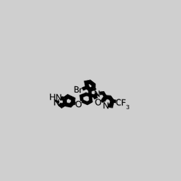 O=C1N(Cc2cncc(C(F)(F)F)c2)c2cccc(Br)c2C12CCC(Oc1ccc3[nH]ncc3c1)CC2